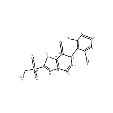 Cc1cccc(Cl)c1-n1nnc2nc(S(=O)(=O)CO)sc2c1=O